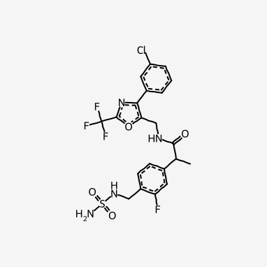 CC(C(=O)NCc1oc(C(F)(F)F)nc1-c1cccc(Cl)c1)c1ccc(CNS(N)(=O)=O)c(F)c1